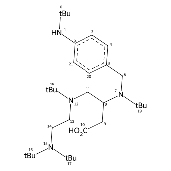 CC(C)(C)Nc1ccc(CN(C(CC(=O)O)CN(CCN(C(C)(C)C)C(C)(C)C)C(C)(C)C)C(C)(C)C)cc1